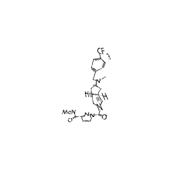 CNC(=O)c1ccn(C(=O)N2C[C@H]3C[C@@H](N(C)Cc4ccc(C(F)(F)F)cc4)C[C@H]3C2)n1